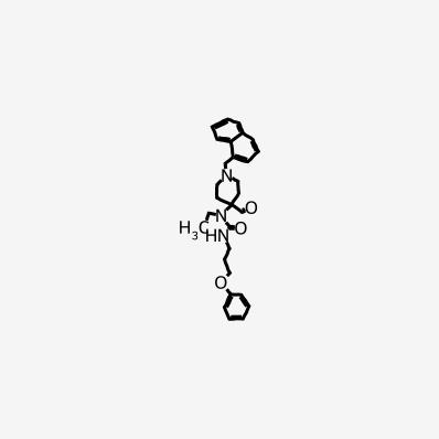 CCN(C(=O)NCCCOc1ccccc1)C1(C=O)CCN(Cc2cccc3ccccc23)CC1